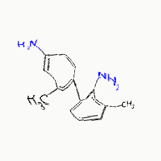 Cc1cc(N)ccc1-c1cccc(C)c1N